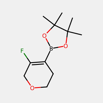 CC1(C)OB(C2=C(F)COCC2)OC1(C)C